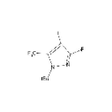 CC(C)(C)n1nc(F)c(I)c1C(F)(F)F